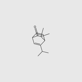 CC(C)C1=CC2C=CC1C(C)(C)C2=O